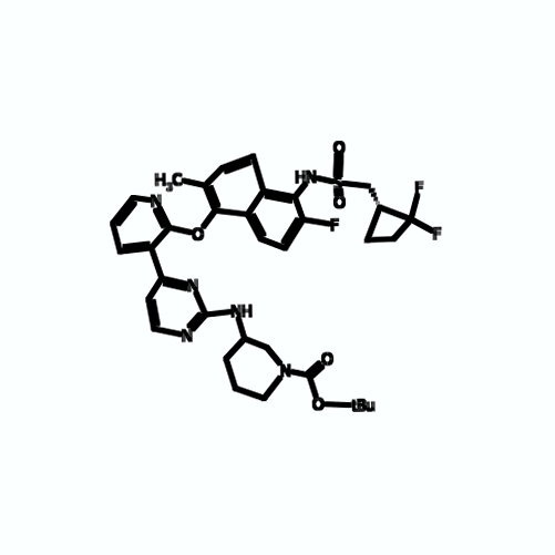 Cc1ccc2c(NS(=O)(=O)C[C@H]3CCC3(F)F)c(F)ccc2c1Oc1ncccc1-c1ccnc(NC2CCCN(C(=O)OC(C)(C)C)C2)n1